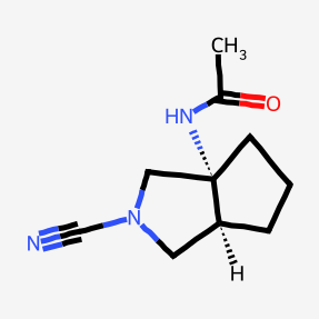 CC(=O)N[C@]12CCC[C@H]1CN(C#N)C2